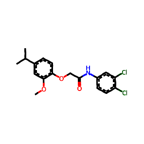 COc1cc(C(C)C)ccc1OCC(=O)Nc1ccc(Cl)c(Cl)c1